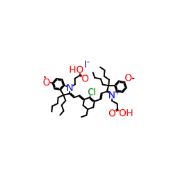 CCCCC1(CCCC)C(/C=C/C2=C(Cl)C(=C/C=C3\N(CCC(=O)O)c4ccc(OC)cc4C3(CCCC)CCCC)/CC(CC)C2)=[N+](CCC(=O)O)c2ccc(OC)cc21.[I-]